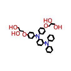 O/C=C(/O)COc1ccc(N(c2ccc(OCC(O)CO)cc2)c2cccc(N(c3ccccc3)c3ccccc3)c2)cc1